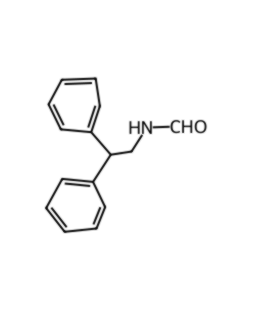 O=CNCC(c1ccccc1)c1ccccc1